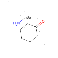 CCCCN.O=C1CCCCC1